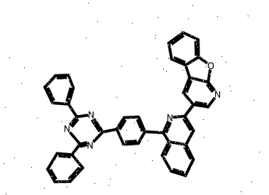 c1ccc(-c2nc(-c3ccccc3)nc(-c3ccc(-c4nc(-c5cnc6oc7ccccc7c6c5)cc5ccccc45)cc3)n2)cc1